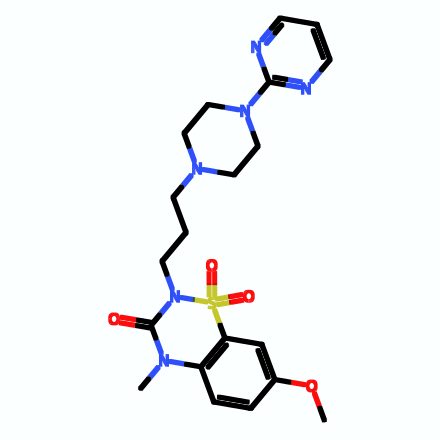 COc1ccc2c(c1)S(=O)(=O)N(CCCN1CCN(c3ncccn3)CC1)C(=O)N2C